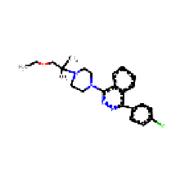 CCOCC(C)(C)N1CCN(c2nnc(-c3ccc(Cl)cc3)c3ccccc23)CC1